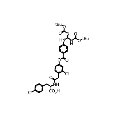 CC(C)(C)OC(=O)/N=C(/NC(=O)OC(C)(C)C)Nc1ccc(C(=O)Oc2ccc(CC(=O)N[C@@H](Cc3ccc(Cl)cc3)C(=O)O)c(Cl)c2)cc1